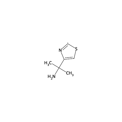 CC(C)(N)c1cs[c]n1